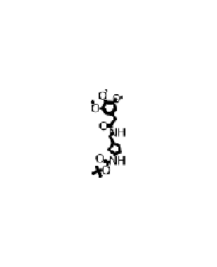 COc1cc(CC(=O)NCC2CCC(NC(=O)OC(C)(C)C)C2)cc(OC)c1OC